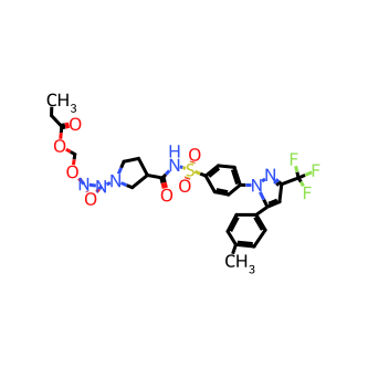 CCC(=O)OCOn1on1N1CCC(C(=O)NS(=O)(=O)c2ccc(-n3nc(C(F)(F)F)cc3-c3ccc(C)cc3)cc2)C1